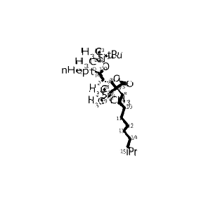 CCCCCCC[C@H](C[C@@H]1OC(=O)[C@]1(CCCCCCCC(C)C)[Si](C)(C)C)O[Si](C)(C)C(C)(C)C